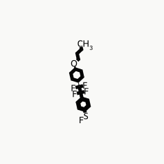 CCCCO[C@H]1CC[C@H](C(F)(F)C(F)(F)c2ccc(SF)cc2)CC1